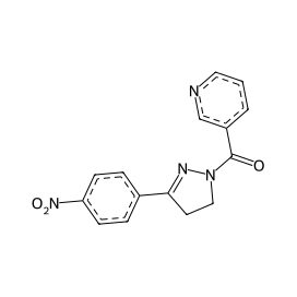 O=C(c1cccnc1)N1CCC(c2ccc([N+](=O)[O-])cc2)=N1